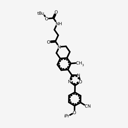 Cc1c(-c2noc(-c3ccc(OC(C)C)c(C#N)c3)n2)ccc2c1CCN(C(=O)CCNC(=O)OC(C)(C)C)C2